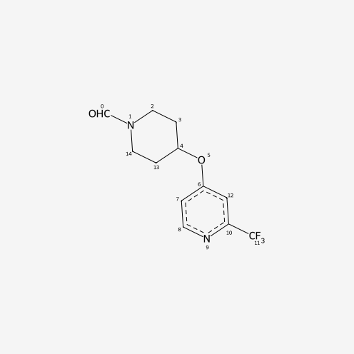 O=CN1CCC(Oc2ccnc(C(F)(F)F)c2)CC1